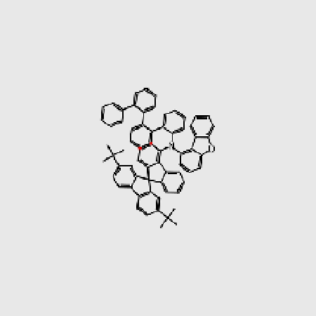 CC(C)(C)c1ccc2c(c1)C1(c3cc(C(C)(C)C)ccc3-2)c2ccccc2-c2c(N(c3ccccc3-c3ccccc3-c3ccccc3-c3ccccc3)c3cccc4oc5ccccc5c34)cccc21